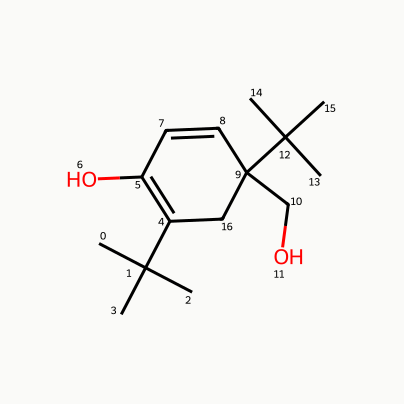 CC(C)(C)C1=C(O)C=CC(CO)(C(C)(C)C)C1